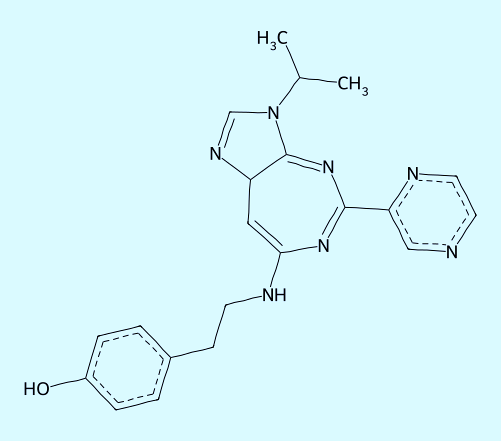 CC(C)N1C=NC2C=C(NCCc3ccc(O)cc3)N=C(c3cnccn3)N=C21